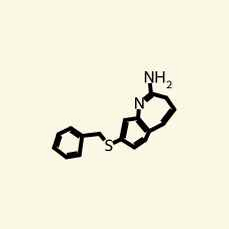 NC1=Nc2cc(SCc3ccccc3)ccc2C=CC1